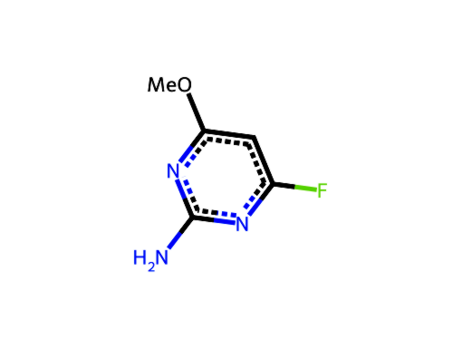 COc1cc(F)nc(N)n1